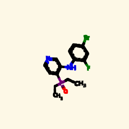 CCP(=O)(CC)c1ccncc1Nc1ccc(Br)cc1F